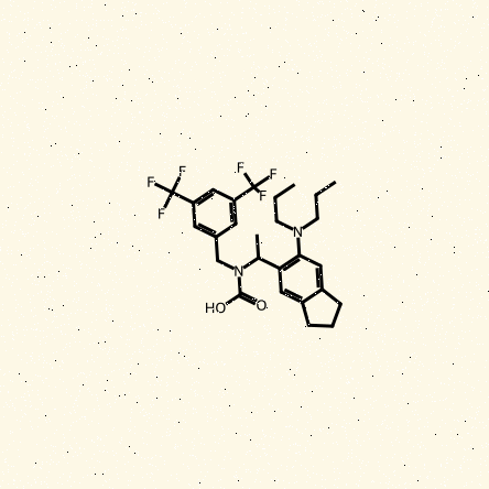 CCCN(CCC)c1cc2c(cc1C(C)N(Cc1cc(C(F)(F)F)cc(C(F)(F)F)c1)C(=O)O)CCC2